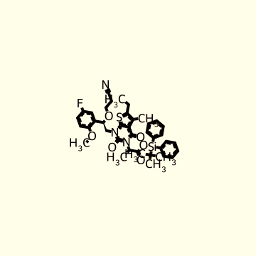 CCc1sc2c(c1C)c(=O)n(C(C)C(=O)O[Si](c1ccccc1)(c1ccccc1)C(C)(C)C)c(=O)n2C[C@H](OCCC#N)c1cc(F)ccc1OC